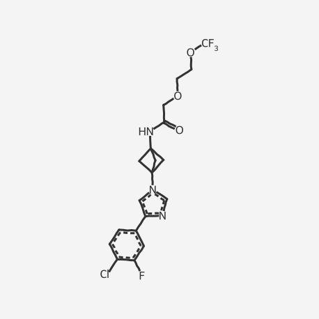 O=C(COCCOC(F)(F)F)NC12CC(n3cnc(-c4ccc(Cl)c(F)c4)c3)(C1)C2